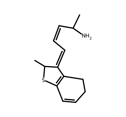 CC(N)/C=C\C=C1\C2=C(C=CCC2)SC1C